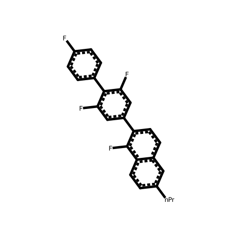 CCCc1ccc2c(F)c(-c3cc(F)c(-c4ccc(F)cc4)c(F)c3)ccc2c1